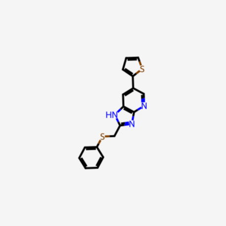 c1ccc(SCc2nc3ncc(-c4cccs4)cc3[nH]2)cc1